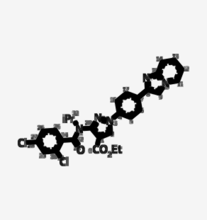 CCOC(=O)c1cn(-c2ccc(-c3cn4ccccc4n3)cc2)nc1N(C(=O)c1ccc(Cl)cc1Cl)C(C)C